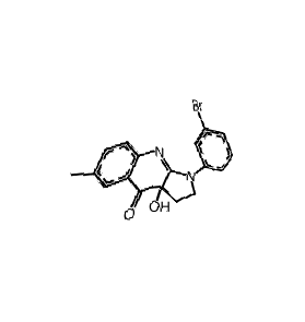 Cc1ccc2c(c1)C(=O)C1(O)CCN(c3cccc(Br)c3)C1=N2